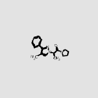 Cc1cn(C(C)C(=O)N2CCCC2)nc1-c1ccccc1